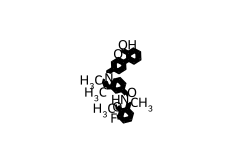 COc1c(F)cccc1[C@H](C)NC(=O)c1ccc2c(c1)c(C)c(C)n2Cc1ccc(-c2ccccc2C(=O)O)cc1